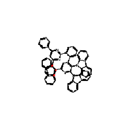 c1ccc(-c2nc(-c3ccccc3)nc(-c3ccccc3-c3cc(-n4c5ccccc5c5ccccc54)nc(-n4c5ccccc5c5ccccc54)c3-n3c4ccccc4c4ccccc43)n2)cc1